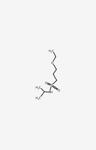 CCOCCCS(=O)(=O)NC(C)C